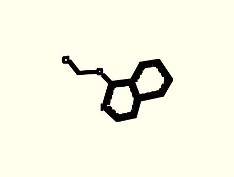 ClCOc1nccc2ccccc12